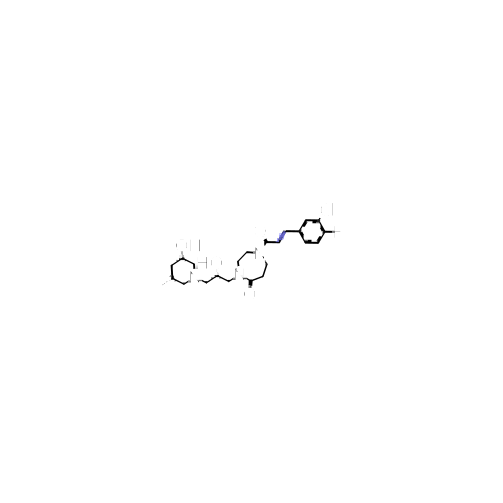 C[C@H]1C[C@@H](O)CN(C[C@H](O)CN2CCN(C(=O)/C=C/c3ccc(F)c(Cl)c3)CCC2=O)C1